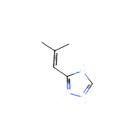 CC(C)=Cc1nnc[nH]1